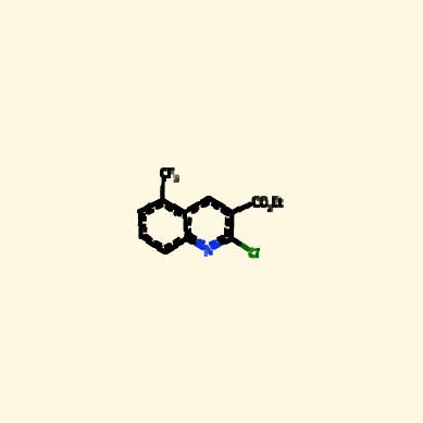 CCOC(=O)c1cc2c(C(F)(F)F)cccc2nc1Cl